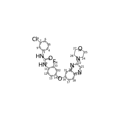 O=C(Nc1cccc(Cl)c1)Nc1ccc(Oc2ccc3ncc(N4CCOCC4)nc3c2)cc1F